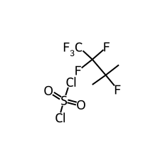 CC(C)(F)C(F)(F)C(F)(F)F.O=S(=O)(Cl)Cl